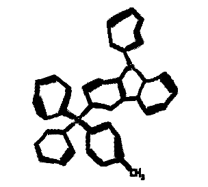 Cc1ccc([Si](C2=CCCC=C2)(C2=CC3C4C=CC=CC4N(C4C=CC=CC4)C3C=C2)c2ccccc2)cc1